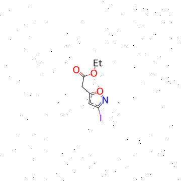 CCOC(=O)Cc1cc(I)no1